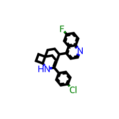 Fc1ccc2nccc(C3CCC45CCC4NC(c4ccc(Cl)cc4)=C3C5)c2c1